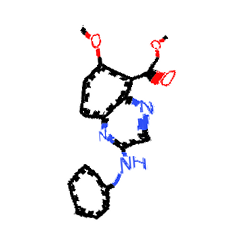 COC(=O)c1c(OC)ccc2nc(Nc3ccccc3)cnc12